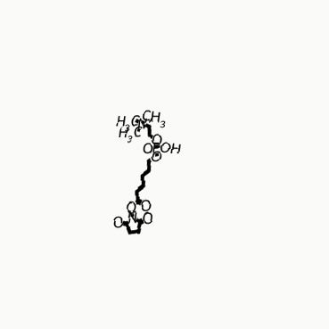 C[N+](C)(C)CCOP(=O)(O)OCCCCCC(=O)ON1C(=O)CCC1=O